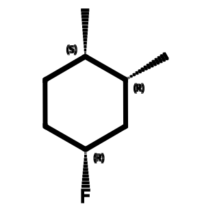 C[C@@H]1C[C@H](F)CC[C@@H]1C